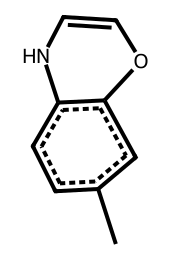 Cc1ccc2c(c1)OC=CN2